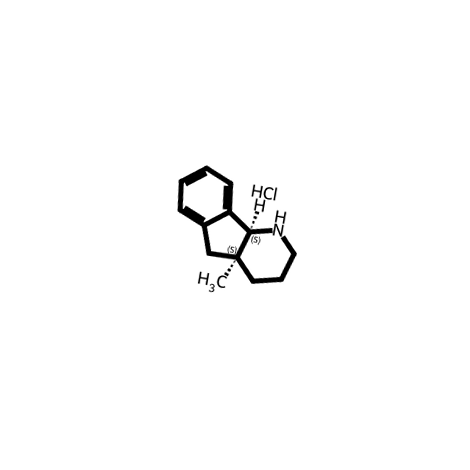 C[C@@]12CCCN[C@@H]1c1ccccc1C2.Cl